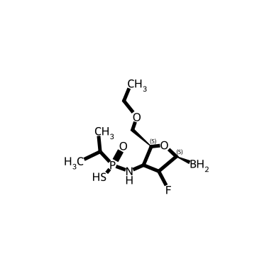 B[C@@H]1O[C@H](COCC)C(NP(=O)(S)C(C)C)C1F